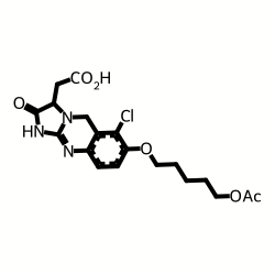 CC(=O)OCCCCCOc1ccc2c(c1Cl)CN1C(=N2)NC(=O)C1CC(=O)O